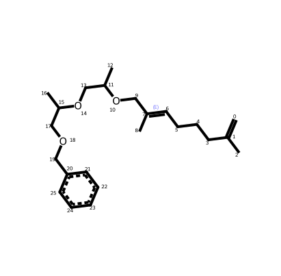 C=C(C)CCC/C=C(\C)COC(C)COC(C)COCc1ccccc1